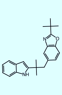 CC(C)(C)c1nc2cc(CC(C)(C)c3cc4ccccc4[nH]3)ccc2o1